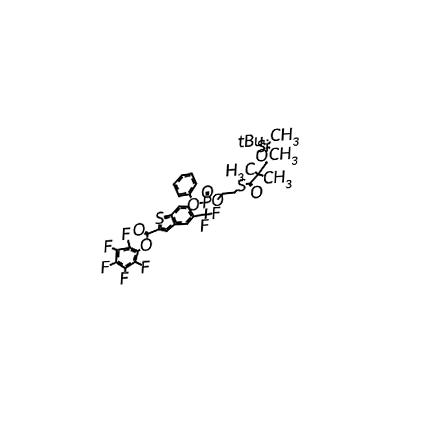 CC(C)(CO[Si](C)(C)C(C)(C)C)C(=O)SCCOP(=O)(Oc1ccccc1)C(F)(F)c1ccc2sc(C(=O)Oc3c(F)c(F)c(F)c(F)c3F)cc2c1